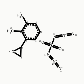 Cc1cccc(C2CO2)c1C.[N-]=[N+]=NS(=O)(=O)N=[N+]=[N-]